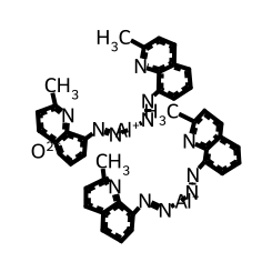 Cc1ccc2cccc(N=[N][Al+][N]=Nc3cccc4ccc(C)nc34)c2n1.Cc1ccc2cccc(N=[N][Al+][N]=Nc3cccc4ccc(C)nc34)c2n1.[O-2]